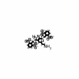 NCCCC/C(C(=O)OCc1c([N+](=O)[O-])cccc1[N+](=O)[O-])=C(/N)C(=O)OCc1c([N+](=O)[O-])cccc1[N+](=O)[O-]